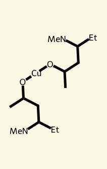 CCC(CC(C)[O][Cu][O]C(C)CC(CC)NC)NC